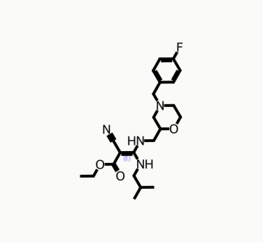 CCOC(=O)/C(C#N)=C(\NCC(C)C)NCC1CN(Cc2ccc(F)cc2)CCO1